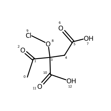 CC(=O)C(CC(=O)O)(OCl)C(=O)O